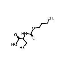 CCCCOC(=O)NC(CS)C(=O)O